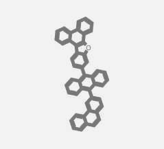 c1ccc2c(c1)ccc1ccc(-c3c4ccccc4c(-c4ccc5c(c4)oc4c6ccccc6c6ccccc6c54)c4ccccc34)cc12